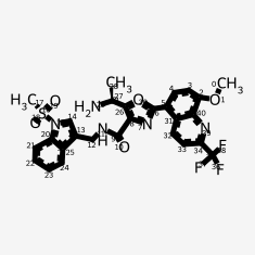 COc1ccc(-c2nc(C(=O)NCc3cn(S(C)(=O)=O)c4ccccc34)c([C@H](C)N)o2)c2ccc(C(F)(F)F)nc12